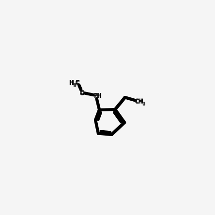 CCc1ccccc1POC